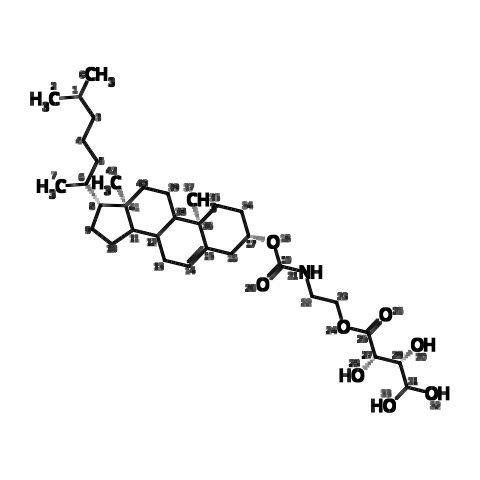 CC(C)CCCC(C)[C@H]1CCC2C3CC=C4C[C@@H](OC(=O)NCCOC(=O)[C@@H](O)[C@H](O)C(O)O)CC[C@]4(C)C3CC[C@@]21C